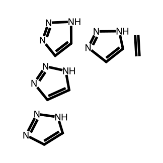 C=C.c1c[nH]nn1.c1c[nH]nn1.c1c[nH]nn1.c1c[nH]nn1